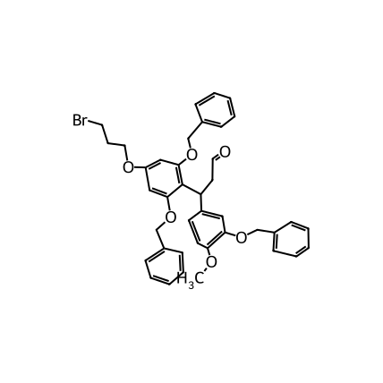 COc1ccc(C(CC=O)c2c(OCc3ccccc3)cc(OCCCBr)cc2OCc2ccccc2)cc1OCc1ccccc1